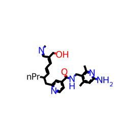 CCCC(/C=C/C=C(\C=N/C)CO)Cc1cc(C(=O)NCc2c(C)cc(N)nc2C)ccn1